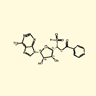 Nc1ncnc2c1ncn2[C@@H]1O[C@H](C(OC(=O)c2ccccc2)S(=O)(=O)F)[C@@H](O)[C@H]1O